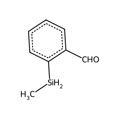 C[SiH2]c1ccccc1C=O